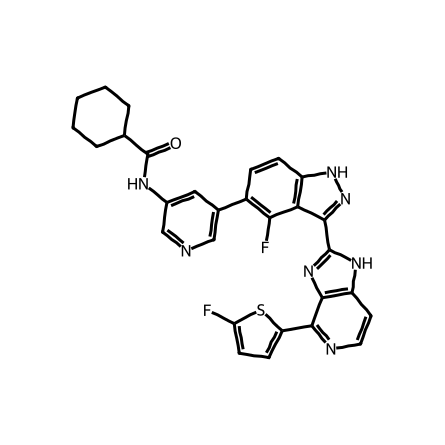 O=C(Nc1cncc(-c2ccc3[nH]nc(-c4nc5c(-c6ccc(F)s6)nccc5[nH]4)c3c2F)c1)C1CCCCC1